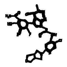 Cn1cnc2c(c(-c3cc(C(N)=O)c(O)c(F)c3F)cn2CC(=O)Nc2cc(N3CC4COCC4C3)ncc2Cl)c1=O